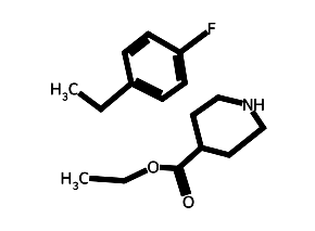 CCOC(=O)C1CCNCC1.CCc1ccc(F)cc1